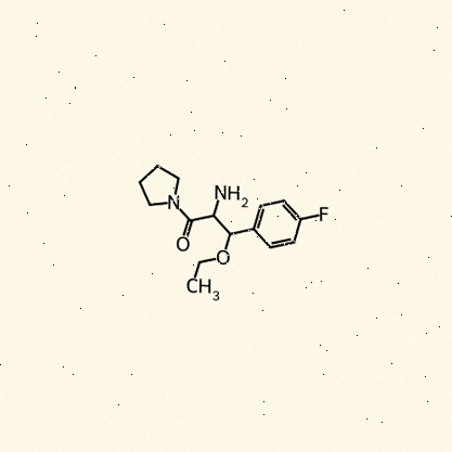 CCOC(c1ccc(F)cc1)C(N)C(=O)N1CCCC1